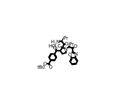 CC(C)[C@H](N)C(=O)[C@@]1(C(=O)O)C(C(=O)c2ccc(C(=O)OC(C)(C)C)cc2)CCN1[C@H](C(=O)c1nc2ccccc2o1)C(C)C